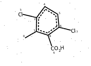 Cc1c(Cl)ccc(Cl)c1C(=O)O